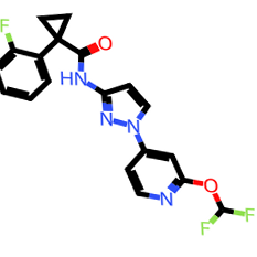 O=C(Nc1ccn(-c2ccnc(OC(F)F)c2)n1)C1(c2ccccc2F)CC1